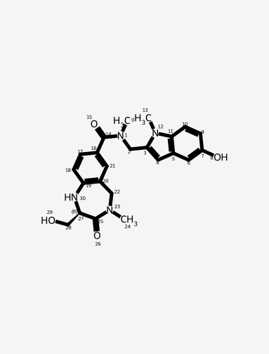 CN(Cc1cc2cc(O)ccc2n1C)C(=O)c1ccc2c(c1)CN(C)C(=O)[C@@H](CO)N2